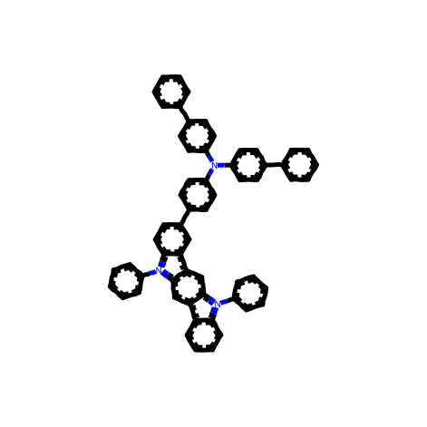 c1ccc(-c2ccc(N(c3ccc(-c4ccccc4)cc3)c3ccc(-c4ccc5c(c4)c4cc6c(cc4n5-c4ccccc4)c4ccccc4n6-c4ccccc4)cc3)cc2)cc1